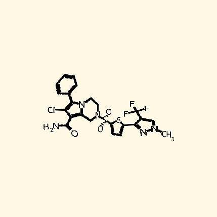 Cn1cc(C(F)(F)F)c(-c2ccc(S(=O)(=O)N3CCn4c(c(C(N)=O)c(Cl)c4-c4ccccc4)C3)s2)n1